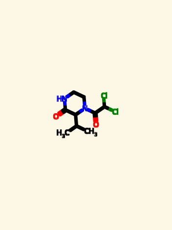 CC(C)C1C(=O)NCCN1C(=O)C(Cl)Cl